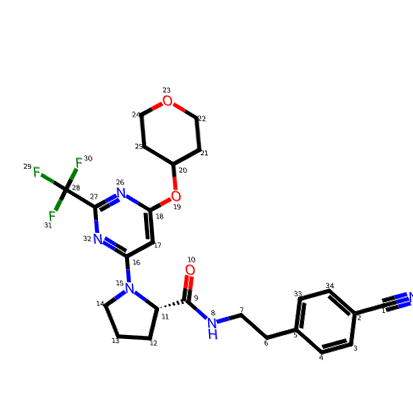 N#Cc1ccc(CCNC(=O)[C@@H]2CCCN2c2cc(OC3CCOCC3)nc(C(F)(F)F)n2)cc1